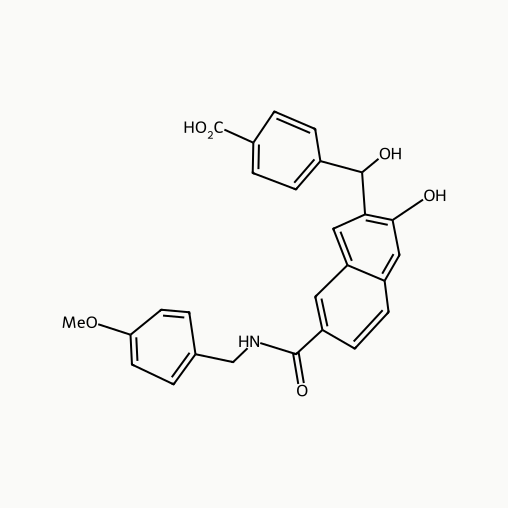 COc1ccc(CNC(=O)c2ccc3cc(O)c(C(O)c4ccc(C(=O)O)cc4)cc3c2)cc1